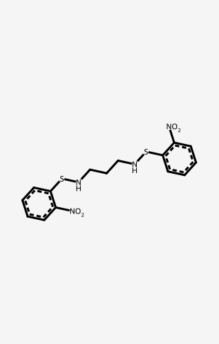 O=[N+]([O-])c1ccccc1SNCCCNSc1ccccc1[N+](=O)[O-]